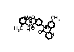 COc1ccc(NC(=O)c2cccnc2-c2ccc(C)cc2)cc1S(=O)(=O)Nc1c(C)cccc1C